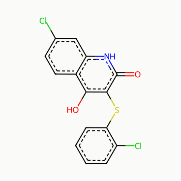 O=c1[nH]c2cc(Cl)ccc2c(O)c1Sc1ccccc1Cl